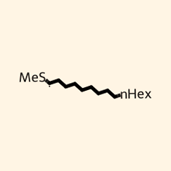 CCCCCCCCCCCCCC[CH]SC